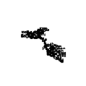 COc1ccc(CC2c3cc(OC)c(OC)cc3CC[N+]2(C)CCCOC(=O)/C=C/C(=O)OCCC[N+]2(C)CCc3cc(OC)c(OC)c(OC)c3C2c2cc(OC)c(OC)c(OC)c2)cc1OC